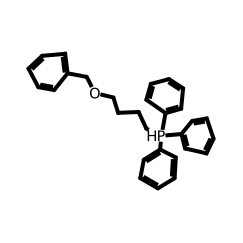 c1ccc(COCCCC[PH](c2ccccc2)(c2ccccc2)c2ccccc2)cc1